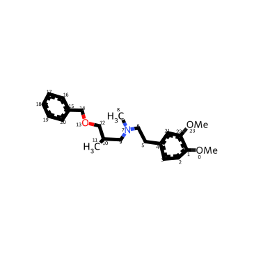 COc1ccc(CCN(C)CC(C)COCc2ccccc2)cc1OC